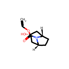 C=COC(=O)N1[C@@H]2CC[C@H]1C[C@@H](O)C2